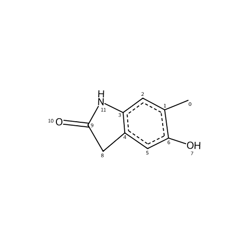 Cc1cc2c(cc1O)CC(=O)N2